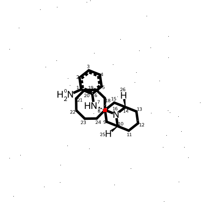 Nc1ccccc1N[C@H]1C[C@H]2CCC[C@@H](C1)N2C1CCCCCCC1